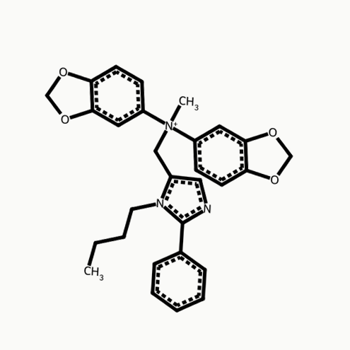 CCCCn1c(C[N+](C)(c2ccc3c(c2)OCO3)c2ccc3c(c2)OCO3)cnc1-c1ccccc1